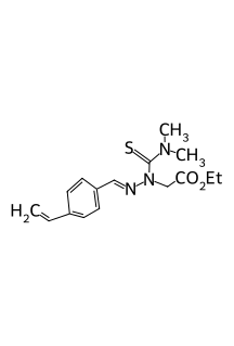 C=Cc1ccc(/C=N/N(CC(=O)OCC)C(=S)N(C)C)cc1